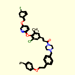 Cc1cc(C=CC(=O)N2CCN(Cc3ccc(CCOc4ccc(C(C)C)cc4)cc3)CC2)cc(Cl)c1Oc1ccc(OCc2ccc(F)cc2)cn1